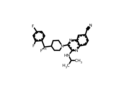 CC(C)Nc1nc2ccc(C#N)cc2nc1N1CCC([C@@H](F)c2ccc(F)cc2F)CC1